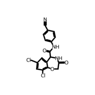 N#Cc1ccc(NC(=O)C2NC(=O)COc3c(Cl)cc(Cl)cc32)cc1